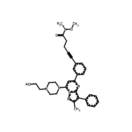 CON(C)C(=O)CCC#Cc1cccc(-c2cc(N3CCN(CCO)CC3)n3nc(C)c(-c4ccccc4)c3n2)c1